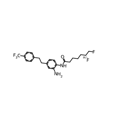 Nc1cc(CCc2ccc(C(F)(F)F)cc2)ccc1NC(=O)CCCC[C@@H](F)CF